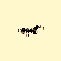 CC1(C)C(=O)N(c2ccc(SC(F)(F)F)cc2)C(=O)N1Cc1ccnc(NC(=O)Nc2cccc(Cl)c2Cl)c1